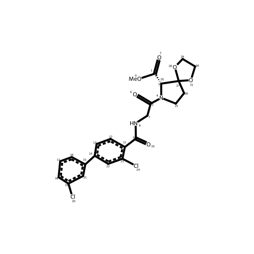 COC(=O)[C@H]1N(C(=O)CNC(=O)c2ccc(-c3cccc(Cl)c3)cc2Cl)CCC12OCCO2